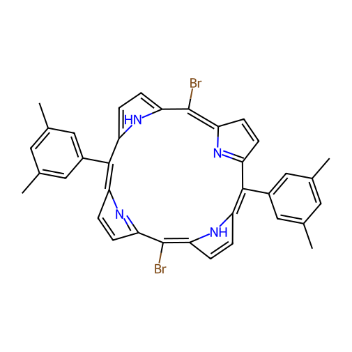 Cc1cc(C)cc(-c2c3nc(c(Br)c4ccc([nH]4)c(-c4cc(C)cc(C)c4)c4nc(c(Br)c5ccc2[nH]5)C=C4)C=C3)c1